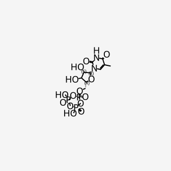 Cc1cn([C@@H]2O[C@H](COP3(=O)OP(=O)(O)OP(=O)(O)O3)C(O)[C@@H]2O)c(=O)[nH]c1=O